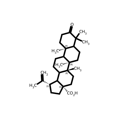 C=C(C)[C@H]1CC[C@]2(C(=O)O)CC[C@]3(C)C(CCC4[C@@]5(C)CCC(=O)C(C)(C)C5CC[C@]43C)C12